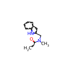 C=CC(=O)N(C)Cc1cc2ccccc2[nH]1